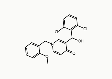 COc1ccccc1Cn1ccc(=O)c(C(O)c2c(Cl)cccc2Cl)c1